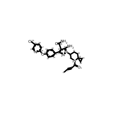 CC#CC(=O)N1CC(n2nc(-c3ccc(Oc4ccc(Cl)cn4)cc3)c(C(N)=O)c2N)CCC12CC2